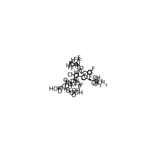 CC(C)(C#Cc1ccc(-c2ccc(Cl)c3c(CN(C(=O)CCC(CC(=O)O)NC(=O)OCOP(=O)(O)O)[SH](=O)=O)nn(CC(F)(F)F)c23)c(C(Cc2cc(F)cc(F)c2)NC(=O)Cn2nc(C(F)(F)F)c3c2C(F)(F)[C@@H]2C[C@H]32)n1)S(C)(=O)=O